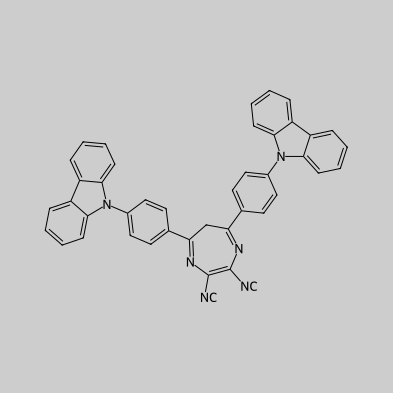 [C-]#[N+]C1=C([N+]#[C-])N=C(c2ccc(-n3c4ccccc4c4ccccc43)cc2)CC(c2ccc(-n3c4ccccc4c4ccccc43)cc2)=N1